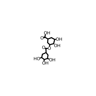 O=C(O)C1CC(O)C(O)C(OC(=O)C2CC(O)C(O)C(O)C2)C1